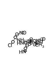 C[N+]([O-])(O)c1cc(S(=O)(=O)NC(=O)c2ccc(NCCNCc3cc(OCCN4CCOCC4)ccc3-c3ccc(Cl)cc3)cc2Oc2ccc3[nH]ccc3c2)ccc1NCC1CCOCC1